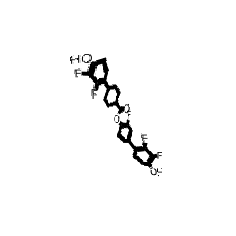 O=C(Oc1ccc(-c2ccc(O)c(F)c2F)cc1F)C1CCC(c2ccc(O)c(F)c2F)CC1